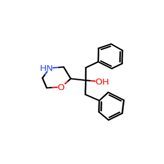 OC(Cc1ccccc1)(Cc1ccccc1)C1CNCCO1